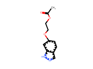 CC(=O)OCCOc1ccc2cn[nH]c2c1